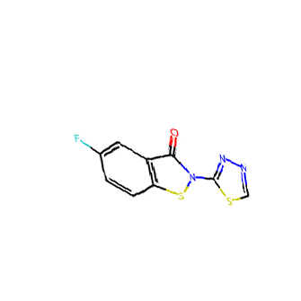 O=c1c2cc(F)ccc2sn1-c1nncs1